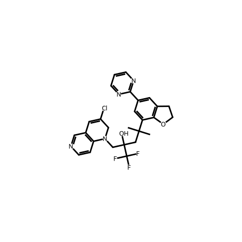 CC(C)(CC(O)(CN1CC(Cl)=Cc2cnccc21)C(F)(F)F)c1cc(-c2ncccn2)cc2c1OCC2